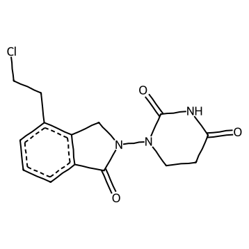 O=C1CCN(N2Cc3c(CCCl)cccc3C2=O)C(=O)N1